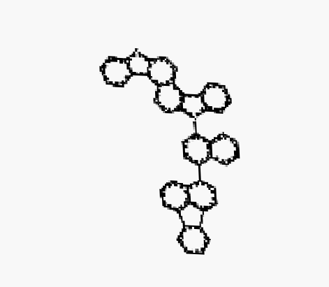 c1ccc2c(c1)-c1cccc3c(-c4ccc(-n5c6ccccc6c6c7ccc8sc9ccccc9c8c7ccc65)c5ccccc45)ccc-2c13